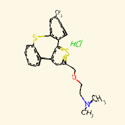 CN(C)CCOCc1cc2c(s1)-c1ccc(C(F)(F)F)cc1Sc1ccccc1-2.Cl